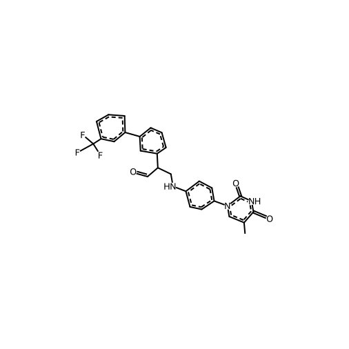 Cc1cn(-c2ccc(NCC(C=O)c3cccc(-c4cccc(C(F)(F)F)c4)c3)cc2)c(=O)[nH]c1=O